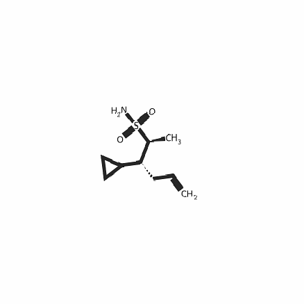 C=CC[C@H](C1CC1)[C@H](C)S(N)(=O)=O